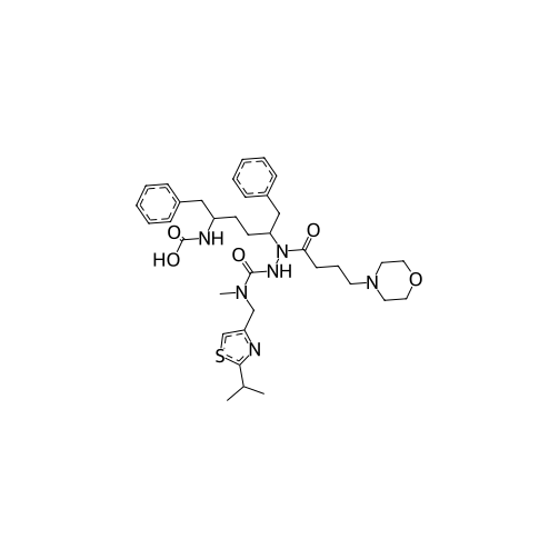 CC(C)c1nc(CN(C)C(=O)NN(C(=O)CCCN2CCOCC2)C(CCC(Cc2ccccc2)NC(=O)O)Cc2ccccc2)cs1